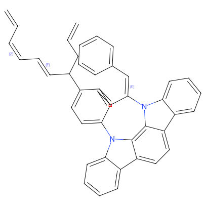 C=C/C=C\C=C\C(CC=C)c1ccc(-n2c3ccccc3c3ccc4c5ccccc5n(/C(C=C)=C/c5ccccc5)c4c32)cc1